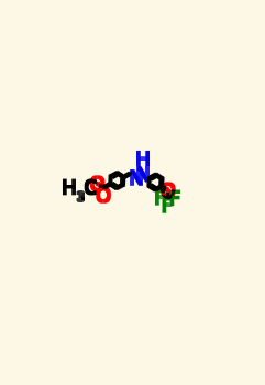 COC(=O)c1ccc(C=NNc2ccc(OC(F)(F)F)cc2)cc1